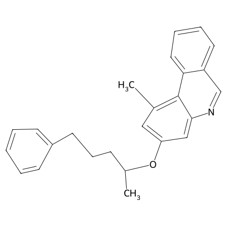 Cc1cc(OC(C)CCCc2ccccc2)cc2ncc3ccccc3c12